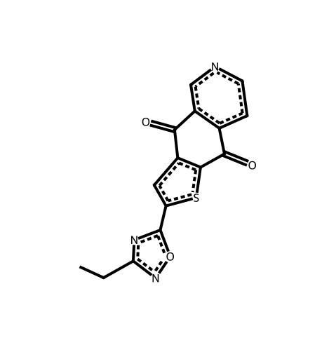 CCc1noc(-c2cc3c(s2)C(=O)c2ccncc2C3=O)n1